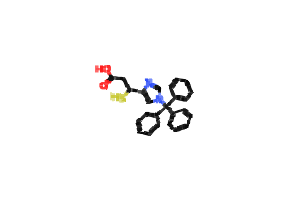 O=C(O)CC(S)c1cn(C(c2ccccc2)(c2ccccc2)c2ccccc2)cn1